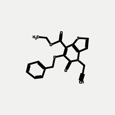 C#CCn1c(=O)c(OCc2ccccc2)c(C(=O)OCC)c2sccc21